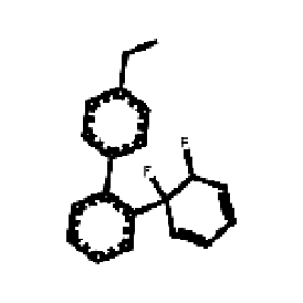 CCc1ccc(-c2ccccc2C2(F)C=CC=CC2F)cc1